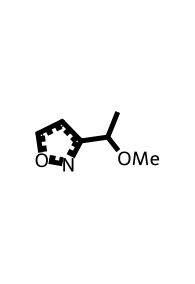 COC(C)c1ccon1